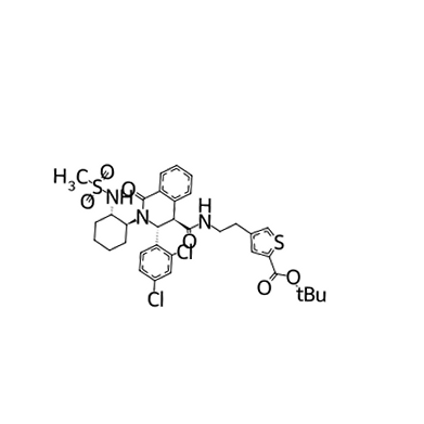 CC(C)(C)OC(=O)c1cc(CCNC(=O)[C@@H]2c3ccccc3C(=O)N([C@H]3CCCC[C@@H]3NS(C)(=O)=O)[C@H]2c2ccc(Cl)cc2Cl)cs1